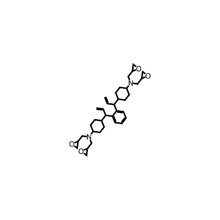 C=CC(c1ccccc1C(C=C)C1CCC(N(CC2CO2)CC2CO2)CC1)C1CCC(N(CC2CO2)CC2CO2)CC1